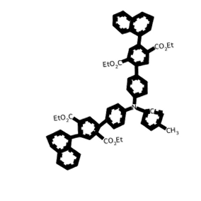 CCOC(=O)c1cc(-c2cccc3ccccc23)c(C(=O)OCC)cc1-c1ccc(N(c2ccc(C)cc2)c2ccc(-c3cc(C(=O)OCC)c(-c4cccc5ccccc45)cc3C(=O)OCC)cc2)cc1